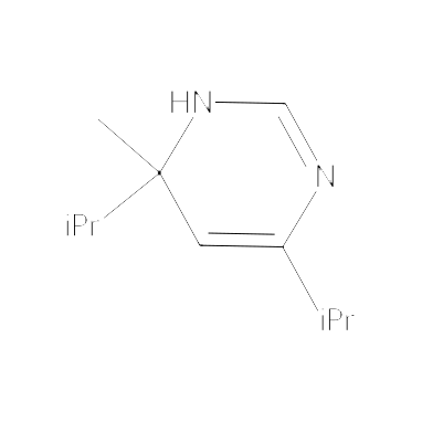 CC(C)C1=CC(C)(C(C)C)NC=N1